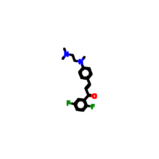 CN(C)CCN(C)c1ccc(/C=C/C(=O)c2cc(F)ccc2F)cc1